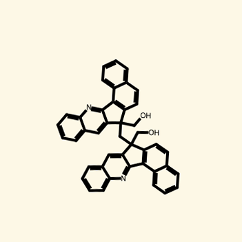 OCC1(CC2(CO)c3cc4ccccc4nc3-c3c2ccc2ccccc32)c2cc3ccccc3nc2-c2c1ccc1ccccc21